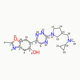 Cc1nc2cc(O)c(-c3cnc(N4CCC(CN(C)C5CC5)C4)nn3)cc2o1